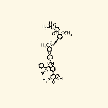 CNCN1C(=O)CCN(c2cc(C#CCNC3(C)CCN(C4CCN(c5nc(C(OC6CC6)c6ccccc6)c6cc(-c7cn(C)c(=O)c8[nH]ccc78)ccc6n5)CC4)CC3)ccc2OC)C1=O